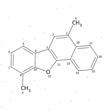 Cc1cc2c3cccc(C)c3oc2c2ccccc12